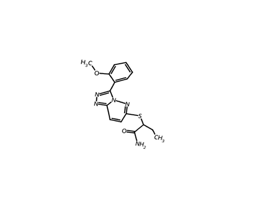 CCC(Sc1ccc2nnc(-c3ccccc3OC)n2n1)C(N)=O